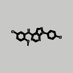 COc1ccc(Cl)cc1Nc1ncnc2c1cnn2-c1ccc(Cl)cc1